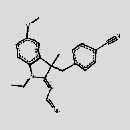 CCN1/C(=C\C=N)C(C)(Cc2ccc(C#N)cc2)c2cc(OC)ccc21